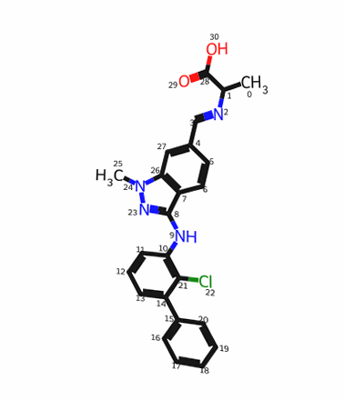 CC(N=Cc1ccc2c(Nc3cccc(-c4ccccc4)c3Cl)nn(C)c2c1)C(=O)O